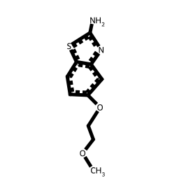 COCCOc1ccc2sc(N)nc2c1